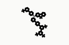 CC(C)(C)c1cccc(-c2ccc(N(c3cccc(-c4ccc(-c5cc(-c6cc(C(C)(C)C)cc(C(C)(C)C)c6)cc(C(C)(C)C)c5)cc4)c3)c3ccc4c(c3)C(C)(C)c3ccccc3-4)cc2)c1